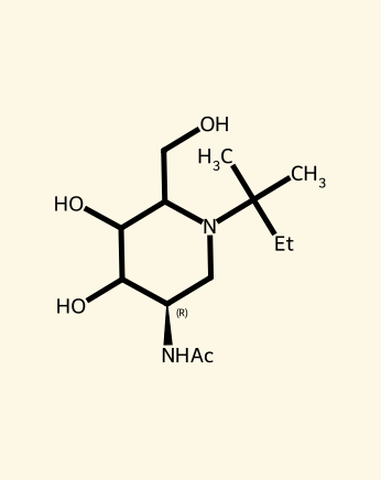 CCC(C)(C)N1C[C@@H](NC(C)=O)C(O)C(O)C1CO